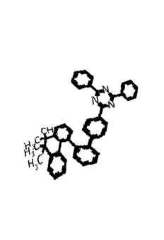 CC1(C)c2ccccc2-c2c(-c3ccccc3-c3ccc(-c4nc(-c5ccccc5)nc(-c5ccccc5)n4)cc3)cccc2C1(C)C